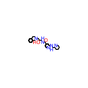 CN1CCCCC1CNc1cc(C(=O)NCC(O)CN2CCc3ccccc3C2)ccn1